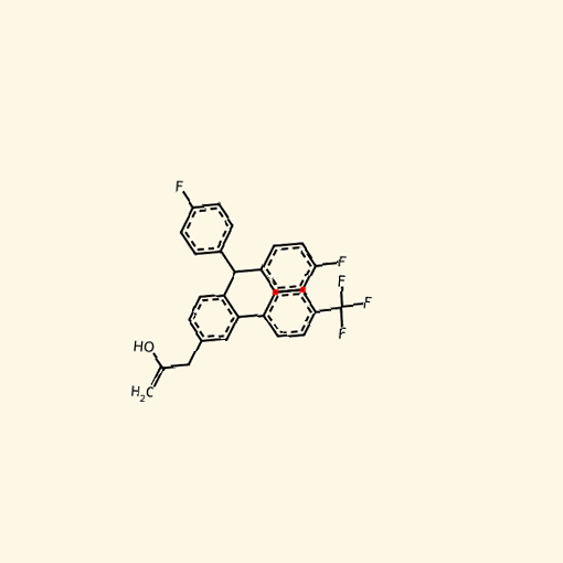 C=C(O)Cc1ccc(C(c2ccc(F)cc2)c2ccc(F)cc2)c(-c2ccc(C(F)(F)F)cc2)c1